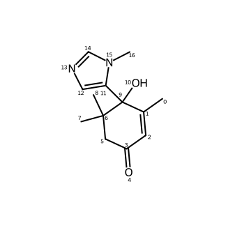 CC1=CC(=O)CC(C)(C)C1(O)c1cncn1C